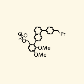 COc1ccc(COS(C)(=O)=O)c(-c2ccc3c(-c4ccc(CC(C)C)cc4)cccc3c2)c1OC